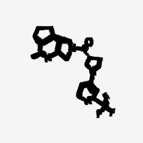 Cc1nc2c(c3c1CCC3)CN(C(=O)[C@@H]1CCN(c3ccnc(C(F)(F)F)c3)C1)C2